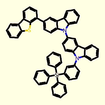 c1ccc([Si](c2ccccc2)(c2ccccc2)c2cccc(-n3c4ccccc4c4cc(-n5c6ccccc6c6cc(-c7cccc8c7sc7ccccc78)ccc65)ccc43)c2)cc1